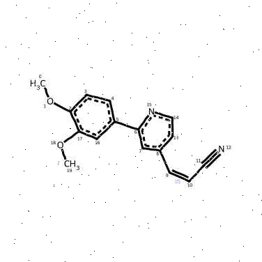 COc1ccc(-c2cc(/C=C\C#N)ccn2)cc1OC